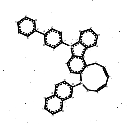 C1=C\Cc2c(ccc3c2c2ccccc2n3-c2ccc(-c3ccccc3)cc2)N(c2ccc3ccccc3c2)C\C=C/1